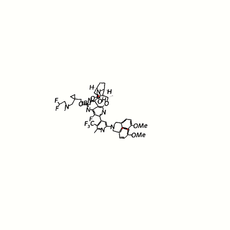 COc1ccc(CN(Cc2ccc(OC)cc2)c2cc(-c3nc4c5c(nc(OCC6(CN(C)CC(F)F)CC6)nc5c3F)N3C[C@H]5CC[C@@H]([C@H]3[C@H](C)O4)N5C(=O)OC(C)(C)C)c(C(F)(F)F)c(C)n2)cc1